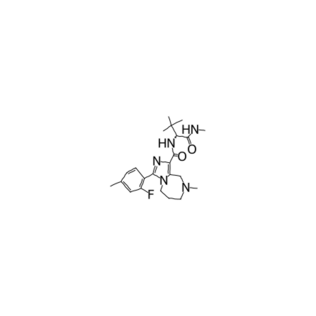 CNC(=O)[C@@H](NC(=O)c1nc(-c2ccc(C)cc2F)n2c1CN(C)CCC2)C(C)(C)C